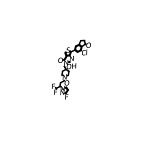 O=C1CCc2cc(-c3scc4c(=O)n(CC5(O)CCN(C(=O)CC(C(F)F)n6ccc(F)n6)CC5)cnc34)cc(Cl)c21